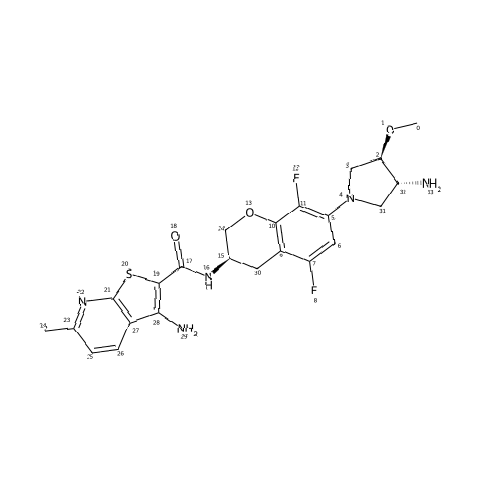 CO[C@@H]1CN(c2cc(F)c3c(c2F)OC[C@H](NC(=O)c2sc4nc(C)ccc4c2N)C3)C[C@H]1N